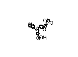 COc1cc(CN(CC2CC[C@H](C(=O)O)C2)[C@@H](C)c2ccc3c(c2)CCO3)ccc1OCCN1C(=O)CCC1=O